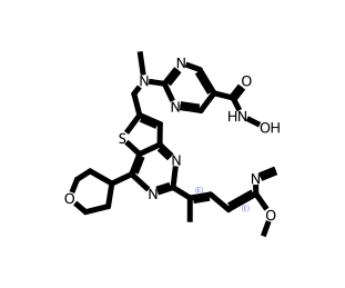 C=N/C(=C\C=C(/C)c1nc(C2CCOCC2)c2sc(CN(C)c3ncc(C(=O)NO)cn3)cc2n1)OC